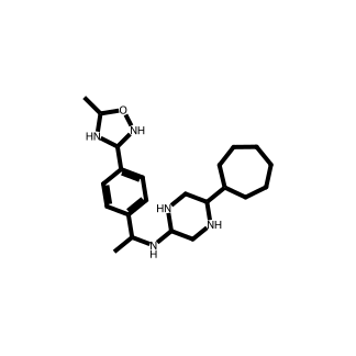 CC1NC(c2ccc(C(C)NC3CNC(C4CCCCCC4)CN3)cc2)NO1